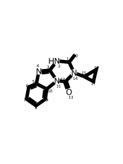 CC1Nc2nc3ccccc3n2C(=O)N1C1CC1